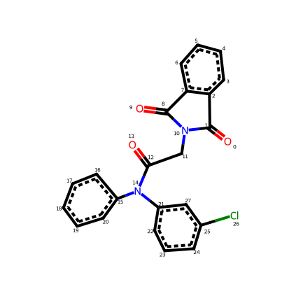 O=C1c2ccccc2C(=O)N1CC(=O)N(c1ccccc1)c1cccc(Cl)c1